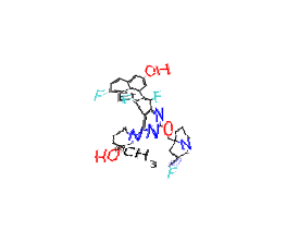 CCc1c(F)ccc2cc(O)cc(-c3c(F)cc4c(N5CCC[C@@](C)(O)C5)nc(OCC56CCCN5C/C(=C\F)C6)nc4c3F)c12